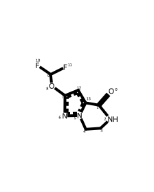 O=C1NCCn2nc(OC(F)F)cc21